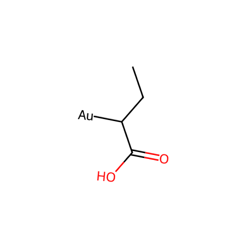 CC[CH]([Au])C(=O)O